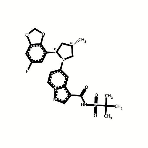 C[C@H]1C[C@H](c2cc(F)cc3c2OCO3)N(c2ccn3ncc(C(=O)NS(=O)(=O)C(C)(C)C)c3c2)C1